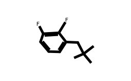 CC(C)(C)Cc1cccc(F)c1F